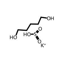 O=[S-](=O)O.OCCCCCO.[K+]